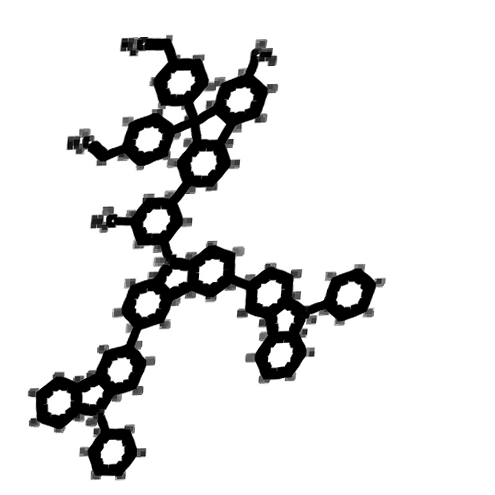 C=Cc1ccc(C2(c3ccc(C=C)cc3)c3cc(C)ccc3-c3ccc(-c4cc(C)cc(-n5c6ccc(-c7ccc8c(c7)c7ccccc7n8-c7ccccc7)cc6c6cc(-c7ccc8c(c7)c7ccccc7n8-c7ccccc7)ccc65)c4)cc32)cc1